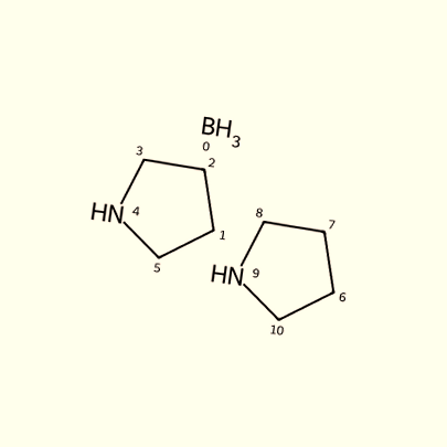 B.C1CCNC1.C1CCNC1